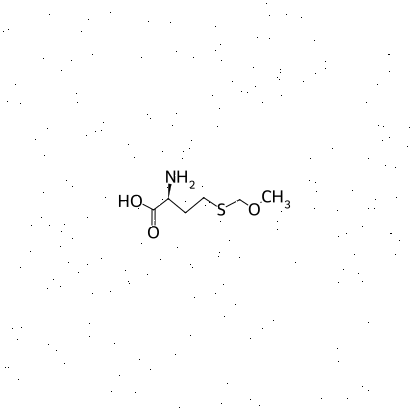 COCSCC[C@H](N)C(=O)O